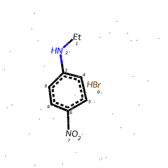 Br.CCNc1ccc([N+](=O)[O-])cc1